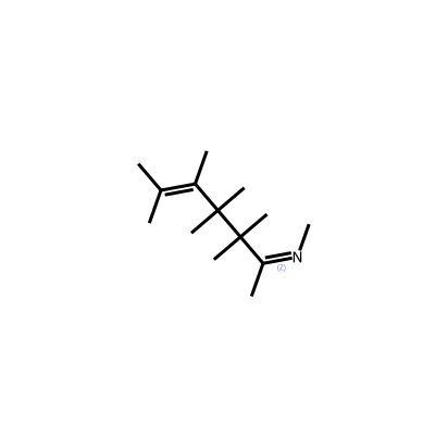 C/N=C(/C)C(C)(C)C(C)(C)C(C)=C(C)C